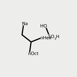 CCCCCCCCC([CH2][Na])CCCCCC.O=S(=O)(O)O